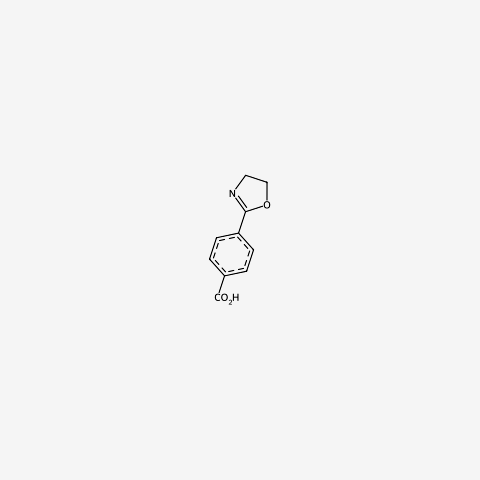 O=C(O)c1ccc(C2=NCCO2)cc1